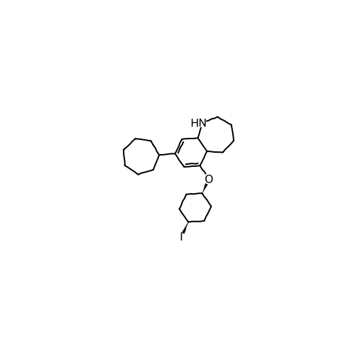 I[C@H]1CC[C@@H](OC2=CC(C3CCCCCC3)=CC3NCCCCC23)CC1